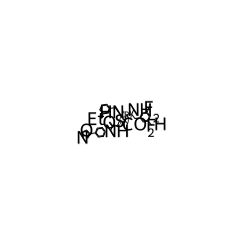 CCc1cccc(CNC[C@H](C(N)Cc2cc(F)cc(F)c2)[C@H](SCC(=O)Nc2ccc(-c3cnco3)cc2)C(=O)O)c1